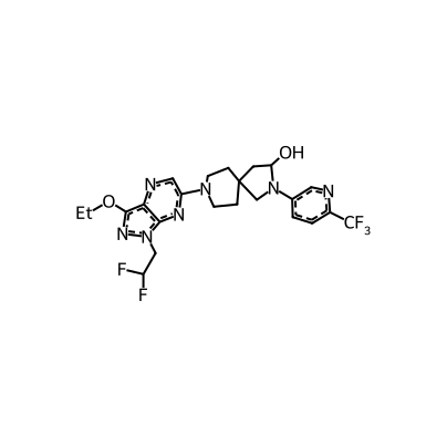 CCOc1nn(CC(F)F)c2nc(N3CCC4(CC3)CC(O)N(c3ccc(C(F)(F)F)nc3)C4)cnc12